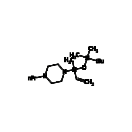 C=C[Si](C)(O[Si](C)(C)C(C)(C)C)N1CCN(CCC)CC1